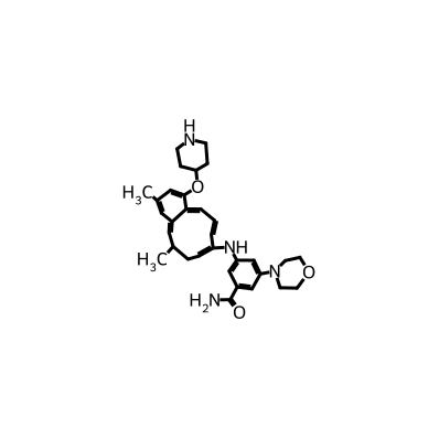 Cc1cc(OC2CCNCC2)c2\c(c1)=C/C(C)C\C=C(Nc1cc(C(N)=O)cc(N3CCOCC3)c1)/C=C/C=2